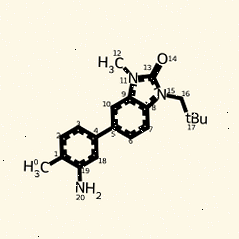 Cc1ccc(-c2ccc3c(c2)n(C)c(=O)n3CC(C)(C)C)cc1N